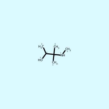 CNC(C)(C)C(C)O